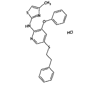 Cc1csc(Nc2ncc(SCCc3ccccc3)cc2Oc2ccccc2)n1.Cl